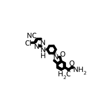 C=C(C(N)=O)c1ccc2c(c1)C(=O)N([C@H]1CCC[C@@H](Nc3ncc(C#N)c(Cl)n3)C1)C2